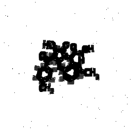 CCCCC(C(=O)NO)N1C(=O)C(O)=C(C(=O)c2ccc(C)cc2)C1Cc1ccccc1